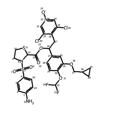 Nc1ccc(S(=O)(=O)N2CCSC2C(=O)OC(Cc2c(Cl)c[n+]([O-])cc2Cl)c2ccc(OC(F)F)c(OCC3CC3)c2)cc1